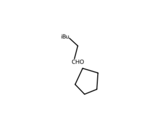 C1CCCC1.CCC(C)CC=O